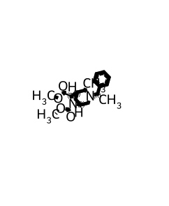 COC(=O)[C@H]1[C@H]2C[C@H](CN([C@H](C)c3ccccc3)C2C)N1C(=O)OC